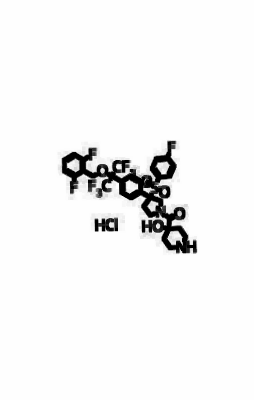 Cl.O=C(N1CCC(c2ccc(C(OCc3c(F)cccc3F)(C(F)(F)F)C(F)(F)F)cc2)(S(=O)(=O)c2ccc(F)cc2)C1)C1(O)CCNCC1